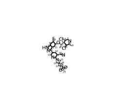 Cc1ncc(Cl)c(C(C)Oc2cc3c(-c4cnc(N5CC6(C5)CN(S(C)(=O)=O)C6)c(C#N)c4)n[nH]c3cc2F)c1Cl